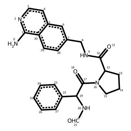 Nc1nccc2cc(CNC(=O)C3CCCN3C(=O)C(NC=O)c3ccccc3)ccc12